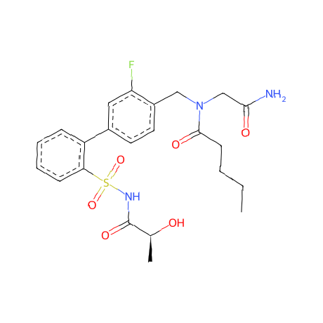 CCCCC(=O)N(CC(N)=O)Cc1ccc(-c2ccccc2S(=O)(=O)NC(=O)[C@H](C)O)cc1F